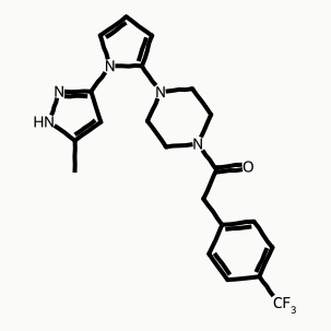 Cc1cc(-n2cccc2N2CCN(C(=O)Cc3ccc(C(F)(F)F)cc3)CC2)n[nH]1